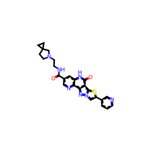 O=C(NCCN1CCC2(CC2)C1)c1cnc2c(c1)[nH]c(=O)c1c2nn2cc(-c3cccnc3)sc12